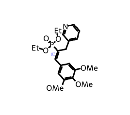 CCOP(=O)(OCC)/C(=C/c1cc(OC)c(OC)c(OC)c1)Cc1cccnc1